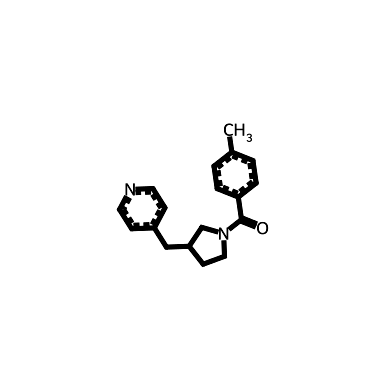 Cc1ccc(C(=O)N2CCC(Cc3ccncc3)C2)cc1